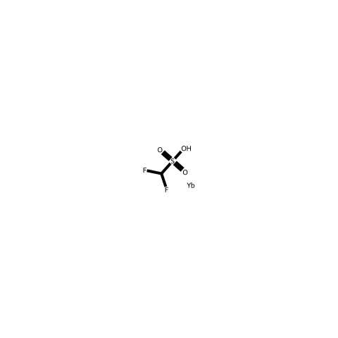 O=S(=O)(O)C(F)F.[Yb]